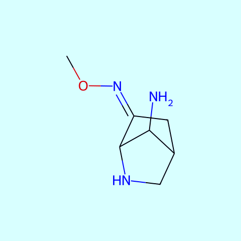 CON=C1CC2CNC1C2N